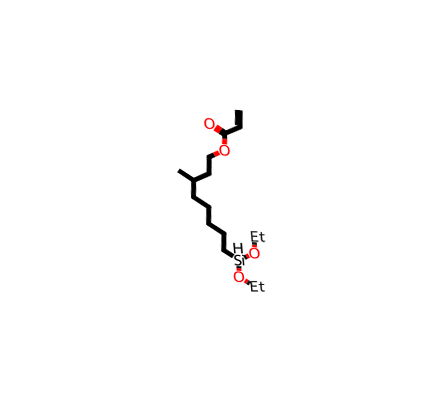 C=CC(=O)OCCC(C)CCCCC[SiH](OCC)OCC